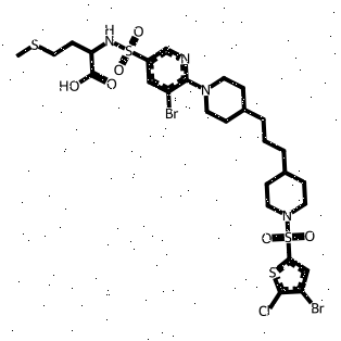 CSCCC(NS(=O)(=O)c1cnc(N2CCC(CCCC3CCN(S(=O)(=O)c4cc(Br)c(Cl)s4)CC3)CC2)c(Br)c1)C(=O)O